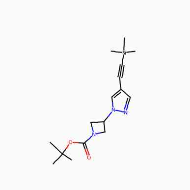 CC(C)(C)OC(=O)N1CC(n2cc(C#C[Si](C)(C)C)cn2)C1